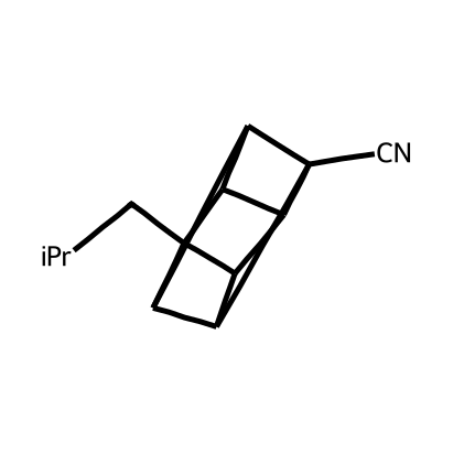 CC(C)CC12C3C4C1C1C2C3C41C#N